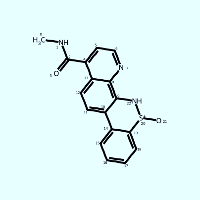 CNC(=O)c1ccnc2c3c(ccc12)-c1ccccc1[S+]([O-])N3